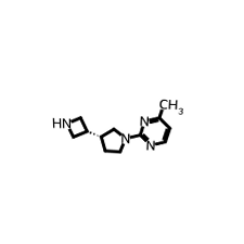 Cc1ccnc(N2CC[C@H](C3CNC3)C2)n1